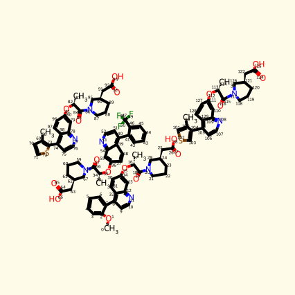 COc1ccccc1-c1ccnc2cc(O[C@H](C)C(=O)N3CCC[C@H](CC(=O)O)C3)ccc12.C[C@@H](Oc1ccc2c(-c3ccccc3C(F)(F)F)ccnc2c1)C(=O)N1CCC[C@H](CC(=O)O)C1.Cc1ccsc1-c1ccnc2cc(O[C@H](C)C(=O)N3CCC[C@H](CC(=O)O)C3)ccc12.Cc1cscc1-c1ccnc2cc(O[C@H](C)C(=O)N3CCC[C@H](CC(=O)O)C3)ccc12